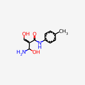 Cc1ccc(NC(=O)/C(=C\O)C(N)O)cc1